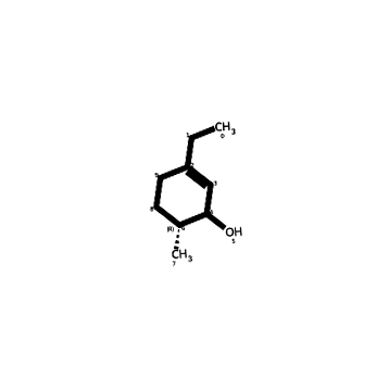 CCC1=CC(O)[C@H](C)CC1